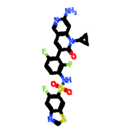 Nc1cc2c(cn1)cc(-c1c(F)ccc(NS(=O)(=O)c3cc4scnc4cc3F)c1F)c(=O)n2C1CC1